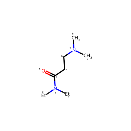 CCN(CC)C(=O)CCN(C)C